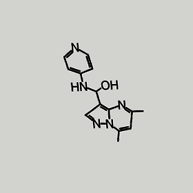 Cc1cc(C)n2ncc(C(O)Nc3ccncc3)c2n1